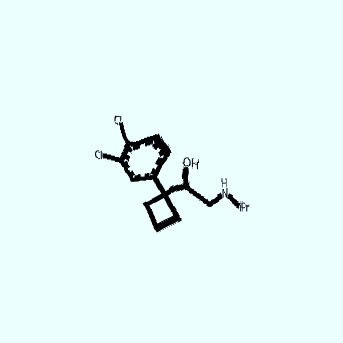 CC(C)NCC(O)C1(c2ccc(Cl)c(Cl)c2)CCC1